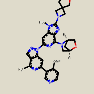 COc1ccncc1-c1cc2c(cnn2-c2cc3c(nc(N4CC5(CCOC5)C4)n3C)c(N3C[C@H]4C[C@@H]3CO4)n2)c(C)n1